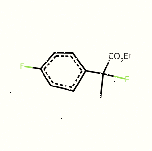 CCOC(=O)C(C)(F)c1ccc(F)cc1